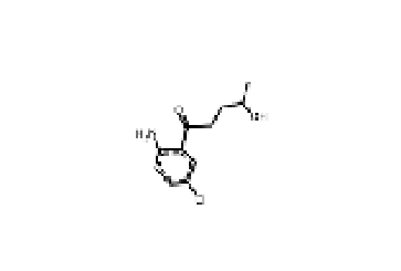 CC(O)CCC(=O)c1cc(Cl)ccc1N